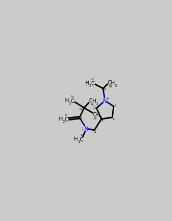 C=C(N(C)CC1CCN(C(C)C)C1)C(C)(C)C